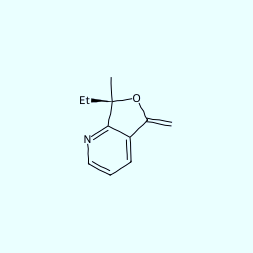 C=C1O[C@](C)(CC)c2ncccc21